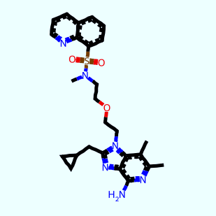 Cc1nc(N)c2nc(CC3CC3)n(CCOCCN(C)S(=O)(=O)c3cccc4cccnc34)c2c1C